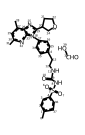 Cc1ccc(S(=O)(=O)NC(=O)NCCc2ccc(-n3c(C4CCOC4)nc4c(C)cc(C)nc43)cc2)cc1.O=CO